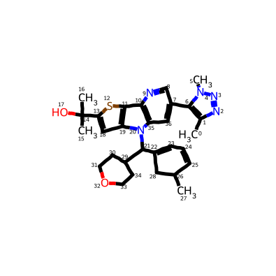 Cc1nnn(C)c1-c1cnc2c3sc(C(C)(C)O)cc3n(C(C3=CC=CC(C)C3)C3CCOCC3)c2c1